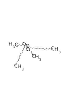 CCCCCCCCCCCCCCCc1c(CCCC)cccc1Oc1cccc(CCCC)c1CCCCCCCCCCCCCCC